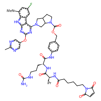 CNc1cc(F)cc2c1[nH]c1nc(Oc3cnc(C)nc3)nc(N3CC4CCN(C(=O)OCc5ccc(NC(=O)[C@H](CCCNC(N)=O)NC(=O)[C@@H](NC(=O)CCCCCN6C(=O)C=CC6=O)C(C)C)cc5)C4C3)c12